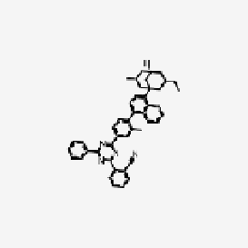 CC[C@@H]1C[C@@H]2C[C@H](C)CC(c3ccc(-c4ccc(-c5nc(-c6ccccc6)nc(-c6ccccc6C#N)n5)cc4C)c4ccccc34)(C1)C2